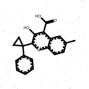 Cc1ccc2nc(C3(c4ccccc4)CC3)c(O)c(C(=O)O)c2c1